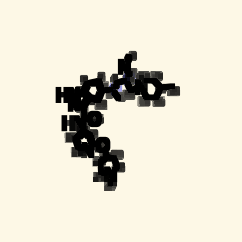 C=N/C=C(\C=C(/C)c1ccc2[nH]nc(C(=O)Nc3ccnc(OC4CCN(C)CC4)c3)c2c1)CN1CCC(C)CC1